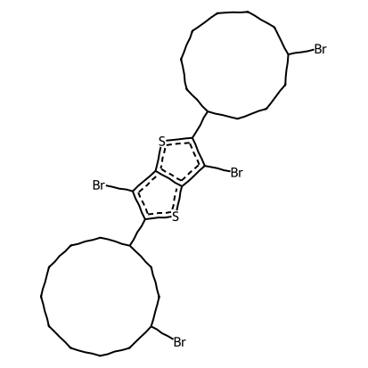 Brc1c(C2CCCCCCC(Br)CCC2)sc2c(Br)c(C3CCCCCCCCC(Br)CC3)sc12